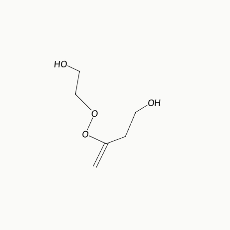 C=C(CCO)OOCCO